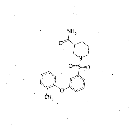 Cc1ccccc1Oc1cccc(S(=O)(=O)N2CCCC(C(N)=O)C2)c1